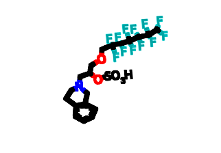 O=S(=O)(O)OC(COCC(F)(F)C(F)(F)C(F)(F)C(F)(F)C(F)(F)C(F)F)CN1CCc2ccccc2C1